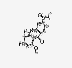 CC[S+]([O-])c1ncc(C(=O)c2ccc(F)cc2OC)c(N)n1